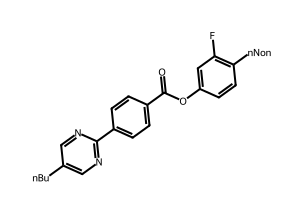 CCCCCCCCCc1ccc(OC(=O)c2ccc(-c3ncc(CCCC)cn3)cc2)cc1F